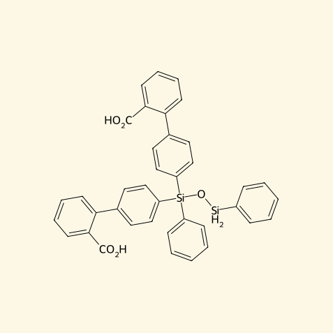 O=C(O)c1ccccc1-c1ccc([Si](O[SiH2]c2ccccc2)(c2ccccc2)c2ccc(-c3ccccc3C(=O)O)cc2)cc1